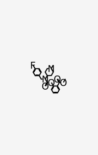 COC(=O)c1ccccc1OC(=O)N(Cc1ccc(F)cc1)C1CCN(C)CC1